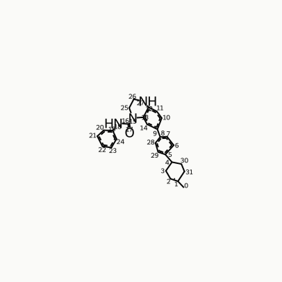 CC1[CH]CC(c2ccc(-c3ccc4c(c3)N(C(=O)Nc3ccccc3)CCN4)cc2)CC1